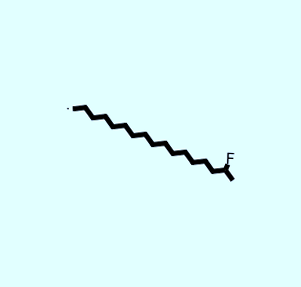 [CH2]CCCCCCCCCCCCCCC(C)F